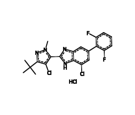 Cl.Cn1nc(C(C)(C)C)c(Cl)c1-c1nc2cc(-c3c(F)cccc3F)cc(Cl)c2[nH]1